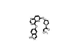 C=CC(=O)N1CC[C@H](Oc2ccc3ncnc(Oc4ccc5[nH]ncc5c4)c3n2)C1